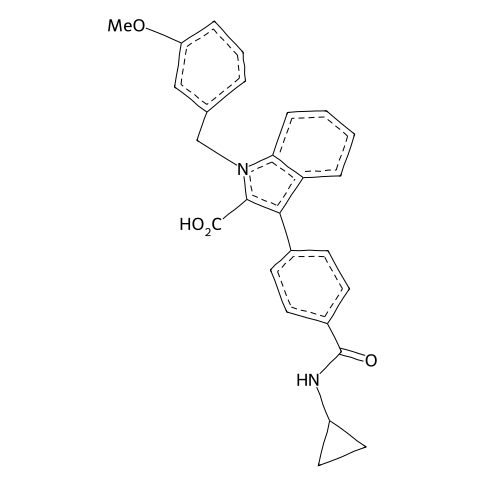 COc1cccc(Cn2c(C(=O)O)c(-c3ccc(C(=O)NC4CC4)cc3)c3ccccc32)c1